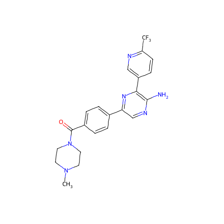 CN1CCN(C(=O)c2ccc(-c3cnc(N)c(-c4ccc(C(F)(F)F)nc4)n3)cc2)CC1